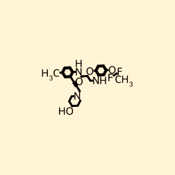 Cc1ccc(NC(=O)C2CNc3cc(OC(C)(F)F)ccc3O2)c(C#CCN2CCC(O)CC2)c1